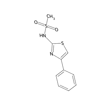 CS(=O)(=O)Nc1nc(-c2ccccc2)cs1